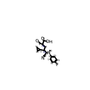 CN(/C(C#N)=C(\C=C(/C=O)C(=O)O)C1CC1)c1ccc(F)cc1